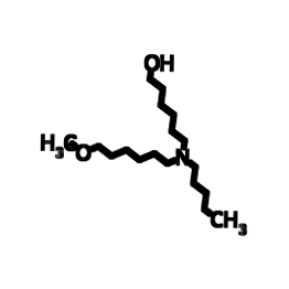 CCCCCN(CCCCCCO)CCCCCCOC